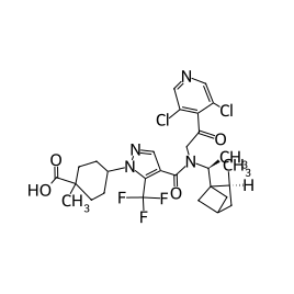 C[C@H](N(CC(=O)c1c(Cl)cncc1Cl)C(=O)c1cnn(C2CCC(C)(C(=O)O)CC2)c1C(F)(F)F)C12CC(C[C@@H]1C)C2